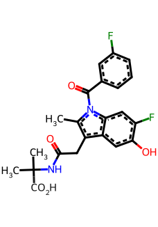 Cc1c(CC(=O)NC(C)(C)C(=O)O)c2cc(O)c(F)cc2n1C(=O)c1cccc(F)c1